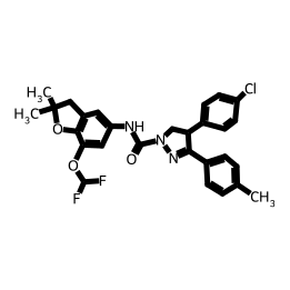 Cc1ccc(C2=NN(C(=O)Nc3cc4c(c(OC(F)F)c3)OC(C)(C)C4)CC2c2ccc(Cl)cc2)cc1